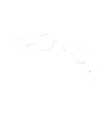 CCC(=O)N1CCc2sc(-c3noc(C(F)(F)F)n3)cc2C1